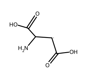 NC([CH]C(=O)O)C(=O)O